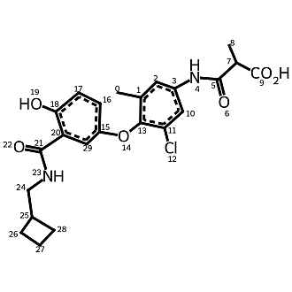 Cc1cc(NC(=O)C(C)C(=O)O)cc(Cl)c1Oc1ccc(O)c(C(=O)NCC2CCC2)c1